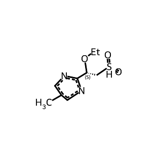 CCO[C@H](C[SH](=O)=O)c1ncc(C)cn1